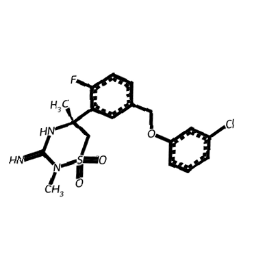 CN1C(=N)N[C@](C)(c2cc(COc3cccc(Cl)c3)ccc2F)CS1(=O)=O